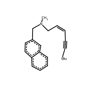 CN(C/C=C\C#CC(C)(C)C)Cc1ccc2ccccc2c1